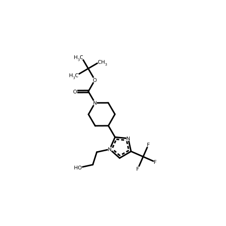 CC(C)(C)OC(=O)N1CCC(c2nc(C(F)(F)F)cn2CCO)CC1